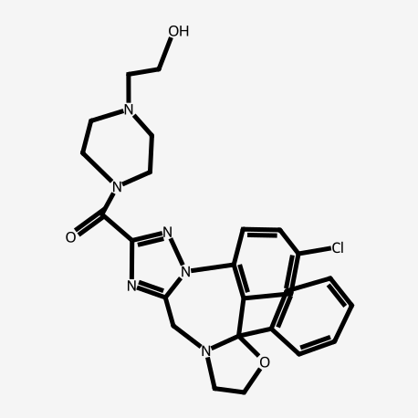 O=C(c1nc2n(n1)-c1ccc(Cl)cc1C1(c3ccccc3)OCCN1C2)N1CCN(CCO)CC1